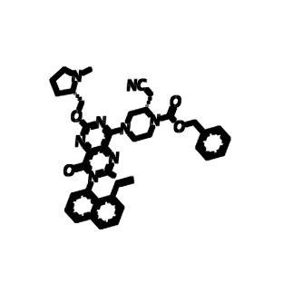 C=Cc1cccc2cccc(-n3c(C)nc4c(N5CCN(C(=O)OCc6ccccc6)[C@@H](CC#N)C5)nc(OC[C@@H]5CCCN5C)nc4c3=O)c12